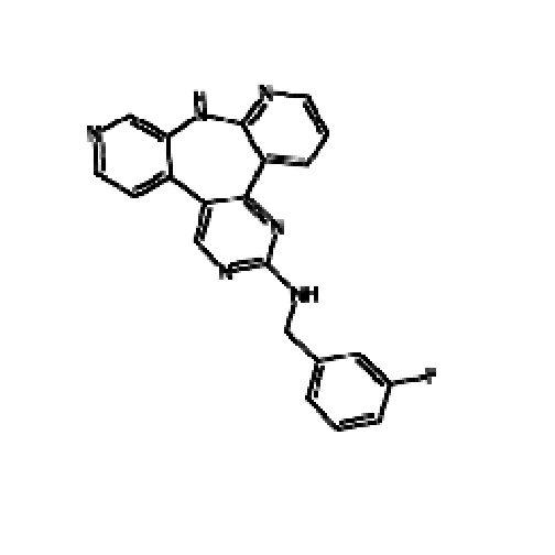 Fc1cccc(CNc2ncc3c(n2)-c2cccnc2Nc2cnccc2-3)c1